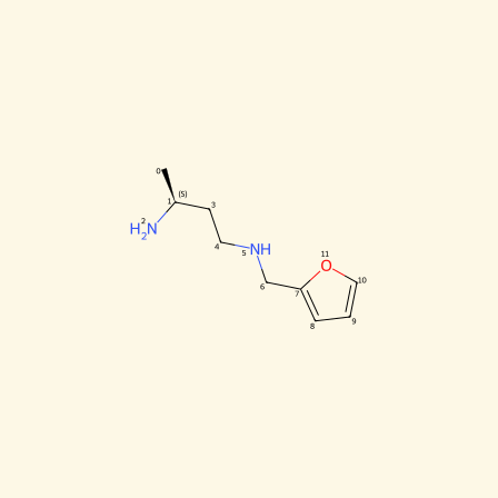 C[C@H](N)CCNCc1ccco1